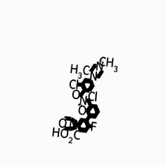 C[C@@H]1CN(C)CCN1c1cc(Cl)c(C(=O)N2COc3c(cccc3-c3cc(N4C5CCC4COC5)c(C(=O)O)cc3F)C2)c(Cl)c1